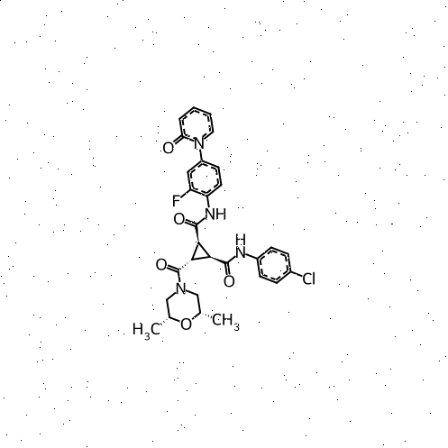 C[C@@H]1CN(C(=O)[C@H]2[C@H](C(=O)Nc3ccc(Cl)cc3)[C@@H]2C(=O)Nc2ccc(-n3ccccc3=O)cc2F)C[C@H](C)O1